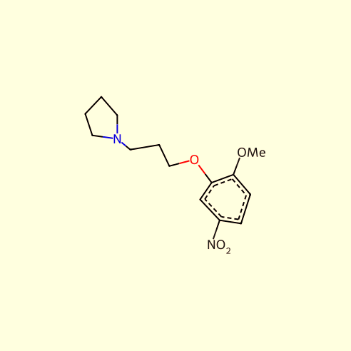 COc1ccc([N+](=O)[O-])cc1OCCCN1CCCC1